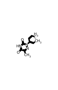 C/C=C\C(=C/C)n1nc(C)c(=O)[nH]c1=O